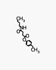 CCCCNC(=O)CCC(=O)Oc1ccc(CC)cc1